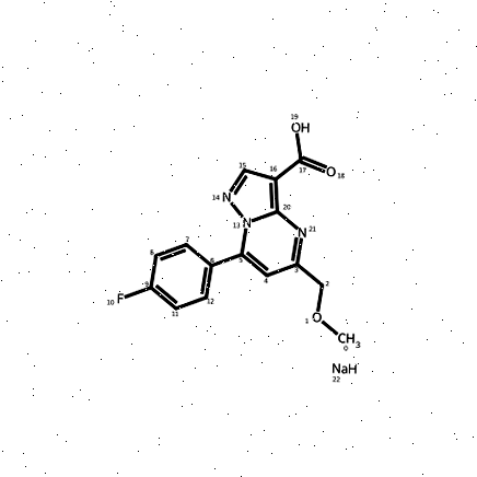 COCc1cc(-c2ccc(F)cc2)n2ncc(C(=O)O)c2n1.[NaH]